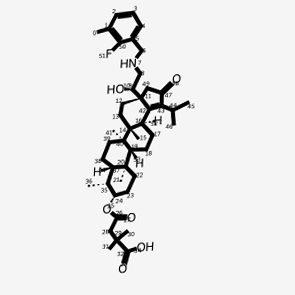 Cc1cccc(CNC[C@H](O)[C@@]23CC[C@]4(C)[C@H](CC[C@@H]5[C@@]6(C)CC[C@H](OC(=O)CC(C)(C)C(=O)O)[C@H](C)[C@@H]6CC[C@]54C)C2=C(C(C)C)C(=O)C3)c1F